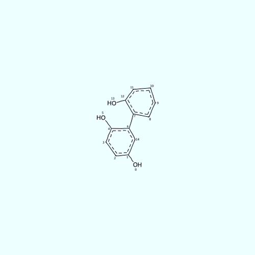 Oc1ccc(O)c(-c2ccccc2O)c1